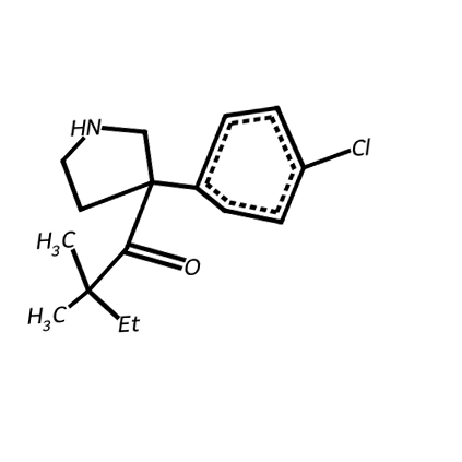 CCC(C)(C)C(=O)C1(c2ccc(Cl)cc2)CCNC1